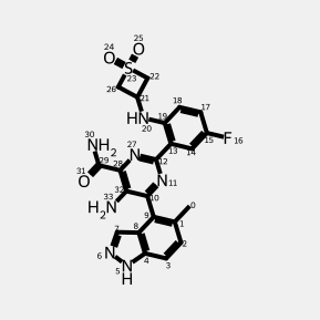 Cc1ccc2[nH]ncc2c1-c1nc(-c2cc(F)ccc2NC2CS(=O)(=O)C2)nc(C(N)=O)c1N